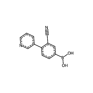 N#Cc1cc(B(O)O)ccc1-c1cccnc1